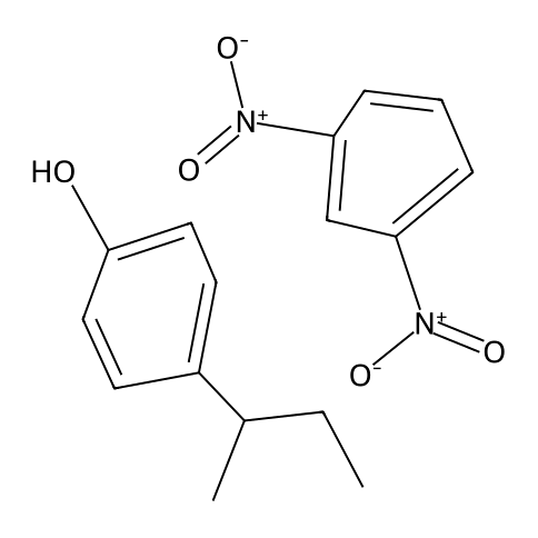 CCC(C)c1ccc(O)cc1.O=[N+]([O-])c1cccc([N+](=O)[O-])c1